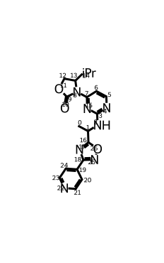 CC(Nc1nccc(N2C(=O)OCC2C(C)C)n1)c1nc(-c2ccncc2)no1